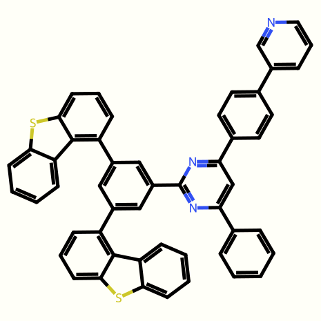 c1ccc(-c2cc(-c3ccc(-c4cccnc4)cc3)nc(-c3cc(-c4cccc5sc6ccccc6c45)cc(-c4cccc5sc6ccccc6c45)c3)n2)cc1